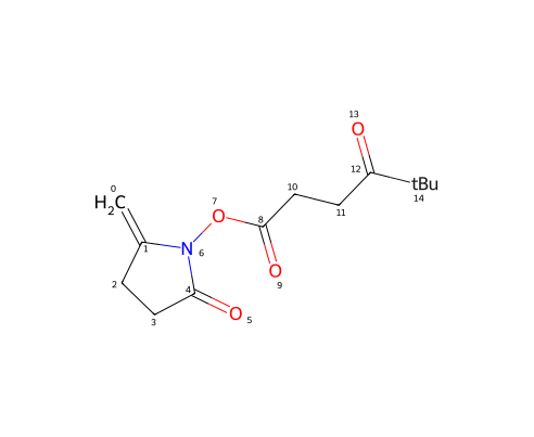 C=C1CCC(=O)N1OC(=O)CCC(=O)C(C)(C)C